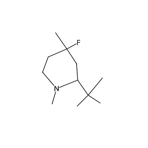 CN1CCC(C)(F)CC1C(C)(C)C